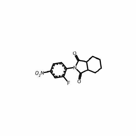 O=C1C2CCCCC2C(=O)N1c1ccc([N+](=O)[O-])cc1F